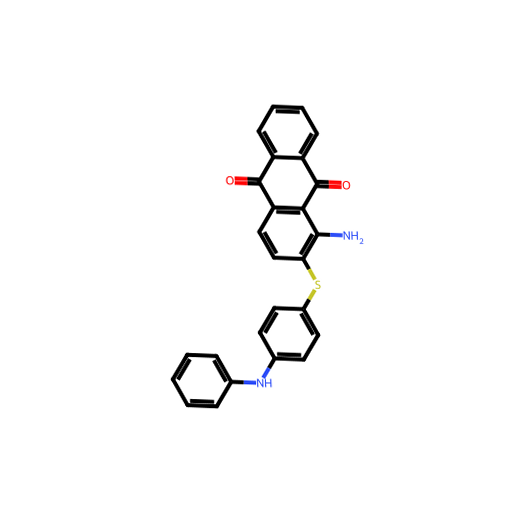 Nc1c(Sc2ccc(Nc3ccccc3)cc2)ccc2c1C(=O)c1ccccc1C2=O